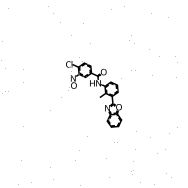 Cc1c(NC(=O)c2ccc(Cl)c(N=O)c2)cccc1-c1nc2ccccc2o1